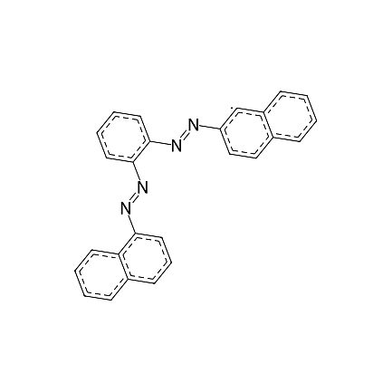 [c]1c(/N=N/c2ccccc2/N=N/c2cccc3ccccc23)ccc2ccccc12